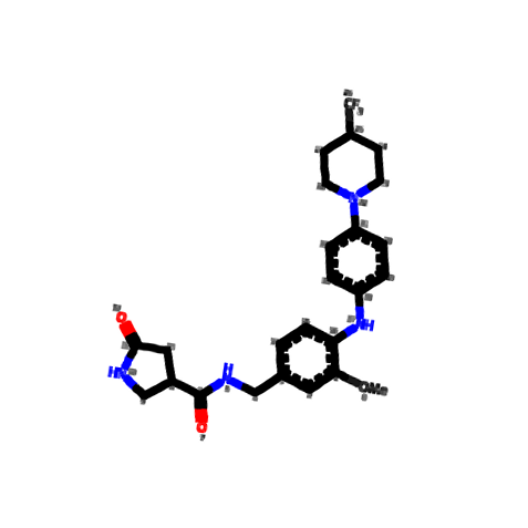 COc1cc(CNC(=O)C2CNC(=O)C2)ccc1Nc1ccc(N2CCC(C(F)(F)F)CC2)cc1